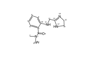 CCCN(C)C(=O)c1ccccc1NCC1=NCCN1